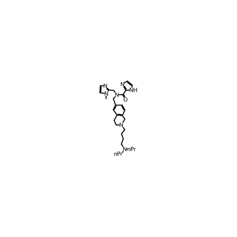 CCCN(CCC)CCCCN1CCc2cc(CN(Cc3nccn3C)C(=O)c3ncc[nH]3)ccc2C1